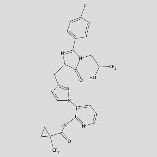 O=C(Nc1ncccc1-n1cnc(Cn2nc(-c3ccc(Cl)cc3)n(CC(O)C(F)(F)F)c2=O)n1)C1(C(F)(F)F)CC1